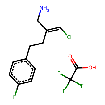 NC/C(=C/Cl)CCc1ccc(F)cc1.O=C(O)C(F)(F)F